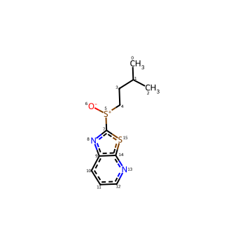 CC(C)CC[S+]([O-])c1nc2cccnc2s1